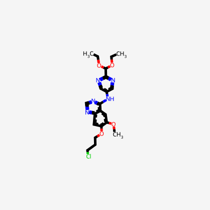 CCOC(OCC)c1ncc(Nc2ncnc3cc(OCCCCl)c(OC)cc23)cn1